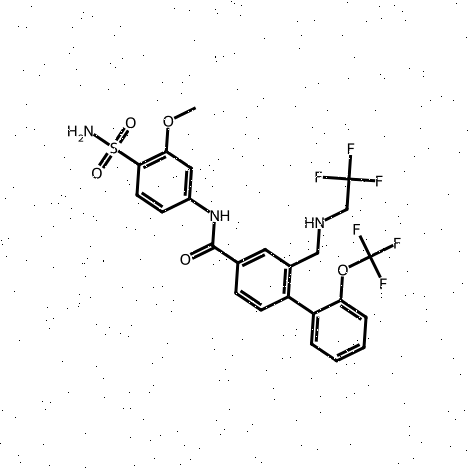 COc1cc(NC(=O)c2ccc(-c3ccccc3OC(F)(F)F)c(CNCC(F)(F)F)c2)ccc1S(N)(=O)=O